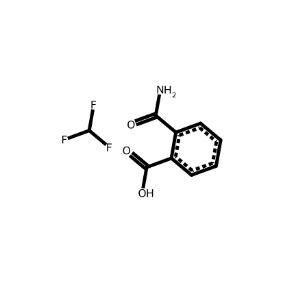 FC(F)F.NC(=O)c1ccccc1C(=O)O